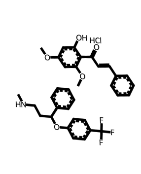 CNCCC(Oc1ccc(C(F)(F)F)cc1)c1ccccc1.COc1cc(O)c(C(=O)C=Cc2ccccc2)c(OC)c1.Cl